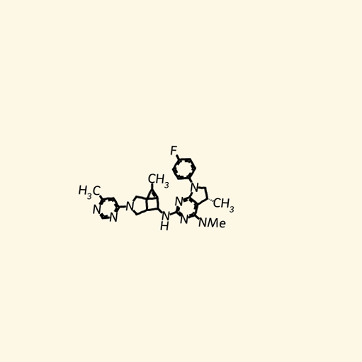 CNc1nc(NC2C3=C(C)C34CN(c3cc(C)ncn3)CC24)nc2c1[C@@H](C)CN2c1ccc(F)cc1